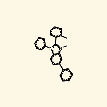 Cc1ccccc1-c1n(-c2ccccc2)c2ccc(-c3ccccc3)cc2[n+]1C